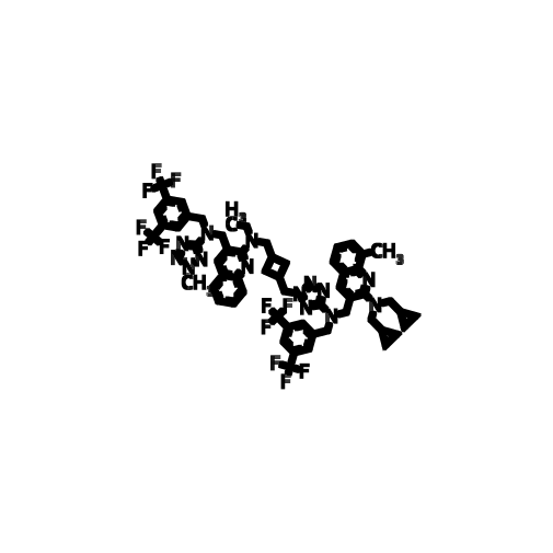 CCN(CC1CC(Cn2nnc(N(Cc3cc(C(F)(F)F)cc(C(F)(F)F)c3)Cc3cc4cccc(C)c4nc3N(CC3CC3)CC3CC3)n2)C1)c1nc2ccccc2cc1CN(Cc1cc(C(F)(F)F)cc(C(F)(F)F)c1)c1nnn(C)n1